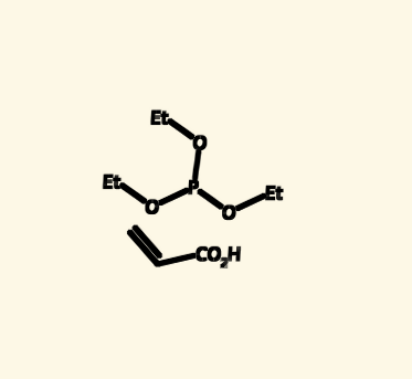 C=CC(=O)O.CCOP(OCC)OCC